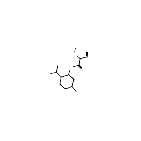 COC(C=O)C(=O)OC1CC(C)CCC1C(C)C